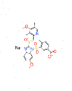 COc1ccc2nc([S+]([O-])Cc3ncc(C)c(OC)c3C)n(S(=O)(=O)c3cc(C(=O)[O-])ccc3C)c2c1.[Na+]